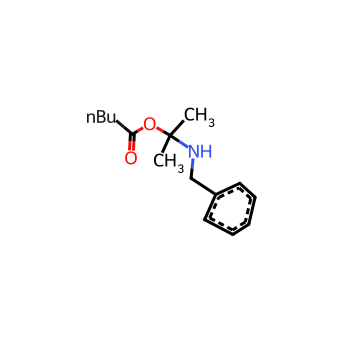 CCCCC(=O)OC(C)(C)NCc1ccccc1